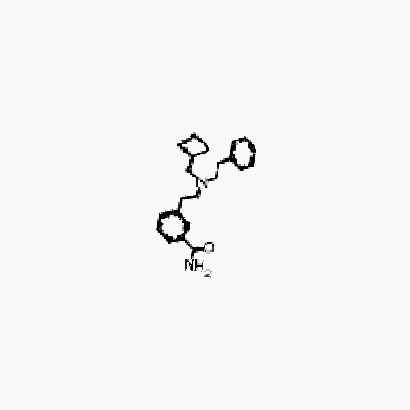 NC(=O)c1cccc(CCN(CCc2ccccc2)CC2CCC2)c1